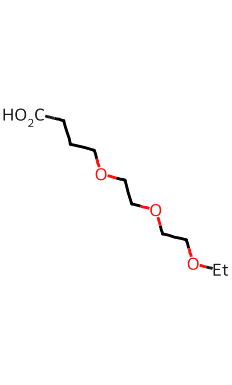 CCOCCOCCOCCCC(=O)O